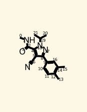 CNC(=O)c1c(C#N)c(-c2ccc(C)c(C)c2)nn1C(C)C